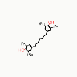 CC(C)c1cc(CCCCCCCc2cc(C(C)C)c(O)c(C(C)(C)C)c2)cc(C(C)(C)C)c1O